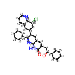 O=C(Cc1cc2cc(-c3cc(Cl)c4ncccc4c3)c(-c3ccccc3)nc2[nH]c1=O)c1ccccc1